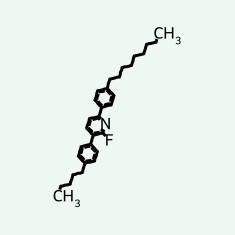 CCCCCCCCCc1ccc(-c2ccc(-c3ccc(CCCCC)cc3)c(F)n2)cc1